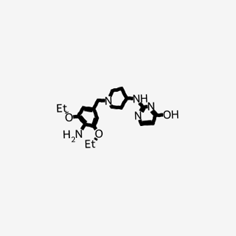 CCOc1cc(CN2CCC(Nc3nccc(O)n3)CC2)cc(OCC)c1N